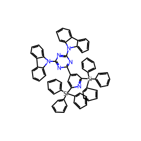 c1ccc([Si](c2ccccc2)(c2ccccc2)c2cc(-c3nc(-n4c5ccccc5c5ccccc54)nc(-n4c5ccccc5c5ccccc54)n3)cc([Si](c3ccccc3)(c3ccccc3)c3ccccc3)n2)cc1